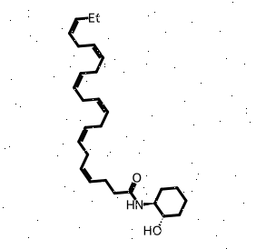 CC/C=C\C/C=C\C/C=C\C/C=C\C/C=C\C/C=C\CCC(=O)N[C@H]1CCCC[C@@H]1O